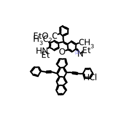 C(#Cc1c2ccccc2c(C#Cc2ccccc2)c2cc3ccccc3cc12)c1ccccc1.CC/N=c1/cc2oc3cc(NCC)c(C)cc3c(-c3ccccc3C(=O)OCC)c-2cc1C.Cl